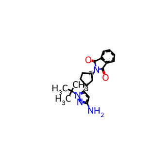 CC(C)(C)n1nc(N)cc1[C@@H]1CC[C@H](N2C(=O)c3ccccc3C2=O)C1